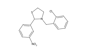 O=[N+]([O-])c1cccc(C2SCCN2Cc2ccccc2Cl)c1